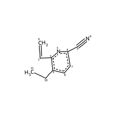 C=Cc1nc(C#N)ccc1CC